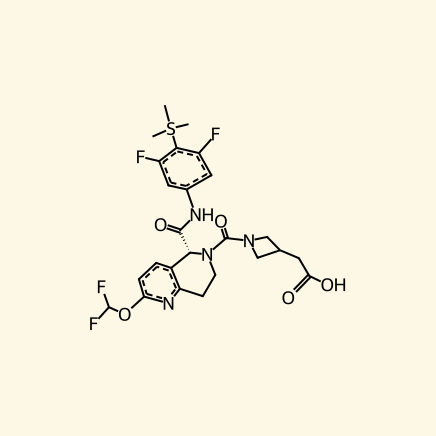 CS(C)(C)c1c(F)cc(NC(=O)[C@H]2c3ccc(OC(F)F)nc3CCN2C(=O)N2CC(CC(=O)O)C2)cc1F